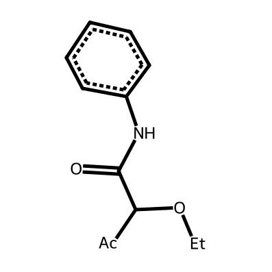 CCOC(C(C)=O)C(=O)Nc1ccccc1